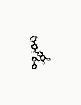 N#Cc1cc2cnc(Nc3ccc(C4CNCCO4)cc3)nc2n(Cc2cccn2C2=CCCC2)c1=O